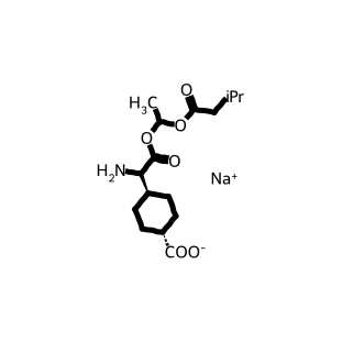 CC(C)CC(=O)OC(C)OC(=O)C(N)[C@H]1CC[C@H](C(=O)[O-])CC1.[Na+]